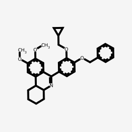 COc1cc2c(cc1OC)C1CCCCC1N=C2c1ccc(OCc2ccccc2)c(OCC2CC2)c1